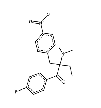 CCC(Cc1ccc([N+](=O)[O-])cc1)(C(=O)c1ccc(F)cc1)N(C)C